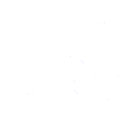 CCN(Cc1ccccc1CN(CC)c1cccc(C)c1)c1cccc(C)c1